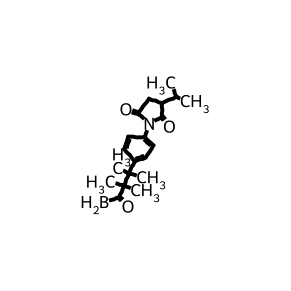 BC(=O)C(C)(C)C(C)(C)c1ccc(N2C(=O)CC(C(C)C)C2=O)cc1